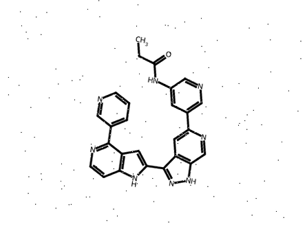 CCC(=O)Nc1cncc(-c2cc3c(-c4cc5c(-c6cccnc6)nccc5[nH]4)n[nH]c3cn2)c1